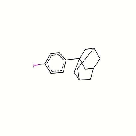 Ic1ccc(C23CC4CC(CC(C4)C2)C3)cc1